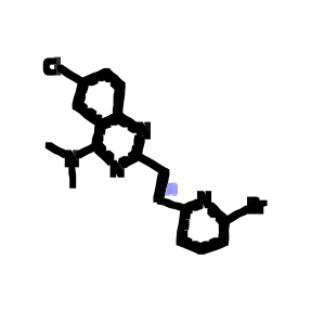 CN(C)c1nc(/C=C/c2cccc(Br)n2)nc2ccc(Cl)cc12